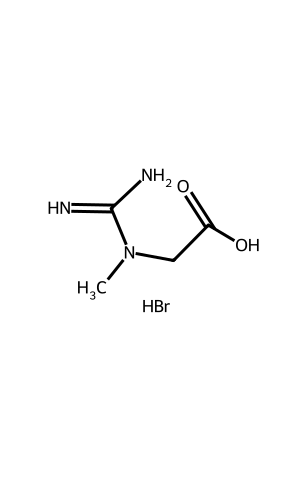 Br.CN(CC(=O)O)C(=N)N